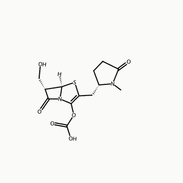 CN1C(=O)CC[C@H]1CC1=C(OC(=O)O)N2C(=O)[C@H](CO)[C@H]2S1